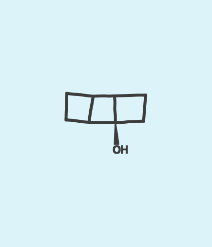 O[C@]12CCC1C1CCC12